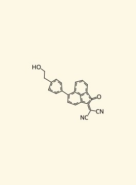 N#CC(C#N)=c1c(=O)c2cccc3c(-c4ccc(CCO)cc4)ccc1c32